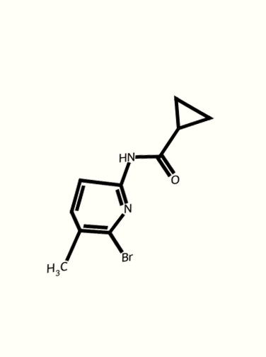 Cc1ccc(NC(=O)C2CC2)nc1Br